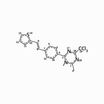 Cc1nc(-c2ccc(C=Cc3cccs3)cc2)nc(C(Cl)(Cl)Cl)n1